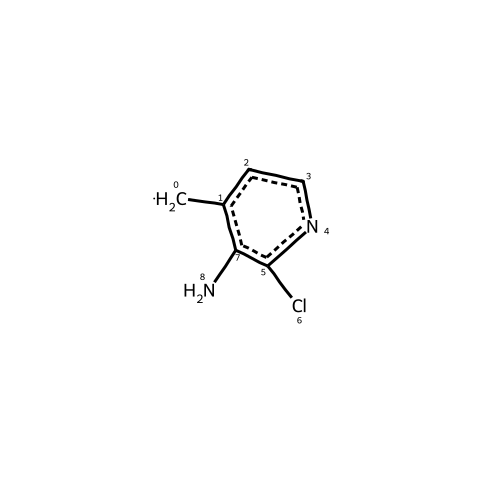 [CH2]c1ccnc(Cl)c1N